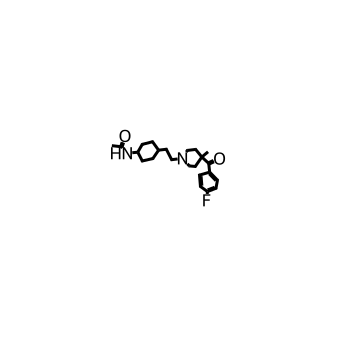 CC(=O)NC1CCC(CCN2CCC(C)(C(=O)c3ccc(F)cc3)CC2)CC1